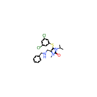 CC(C)n1c(Sc2cc(Cl)cc(Cl)c2)c(CNCc2ccccc2)n(C)c1=O